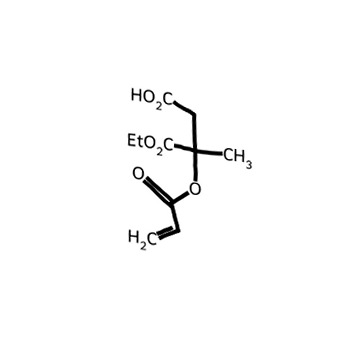 C=CC(=O)OC(C)(CC(=O)O)C(=O)OCC